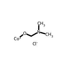 CN(C)C[O][Co+].[Cl-]